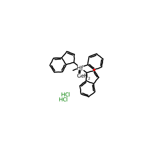 Cl.Cl.[CH3][Hf](=[GeH2])([c]1ccccc1)([CH]1C=Cc2ccccc21)[CH]1C=Cc2ccccc21